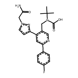 CC(C)(C)N(Cc1cnc(-c2ccc(F)cc2)cc1-c1ccn(CC(N)=O)n1)C(=O)O